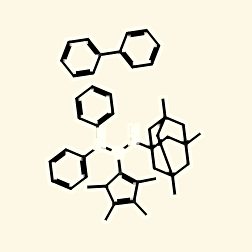 CC1=C(C)C(C)[C]([Ti]([NH]C23CC4(C)CC(C)(CC(C)(C4)C2)C3)[SiH](c2ccccc2)c2ccccc2)=C1C.c1ccc(-c2ccccc2)cc1